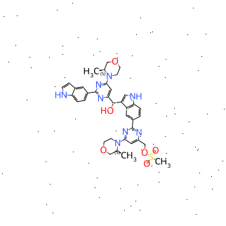 C[C@H]1COCCN1c1cc(COS(C)(=O)=O)nc(-c2ccc3[nH]cc(C(O)c4cc(N5CCOC[C@@H]5C)nc(-c5ccc6[nH]ccc6c5)n4)c3c2)n1